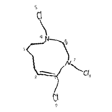 ClC1=CCN(Cl)[CH]N1Cl